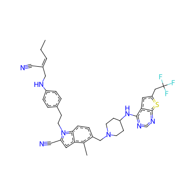 CC/C=C(\C#N)CNc1ccc(CCn2c(C#N)cc3c(C)c(CN4CCC(Nc5ncnc6sc(CC(F)(F)F)cc56)CC4)ccc32)cc1